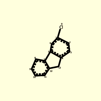 Clc1ccc2c(c1)-c1ccccc1C2